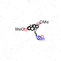 COCOc1ccc2c(c1)C[C@@H](CCCCN1CCNC(=O)C1)[C@@H]1[C@@H]2CC[C@]2(C)[C@@H](OCOC)CC[C@@H]12